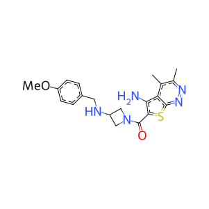 COc1ccc(CNC2CN(C(=O)c3sc4nnc(C)c(C)c4c3N)C2)cc1